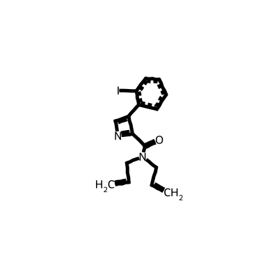 C=CCN(CC=C)C(=O)C1=NC=C1c1ccccc1I